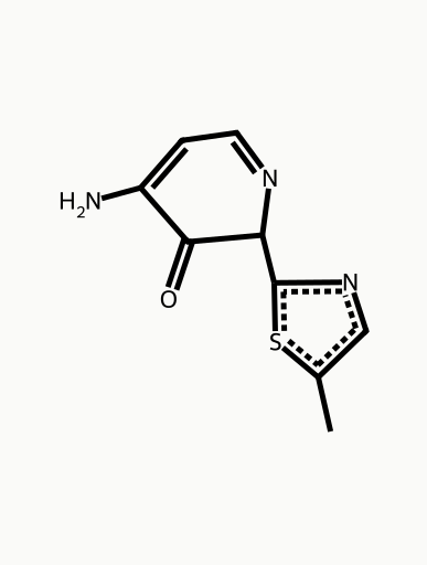 Cc1cnc(C2N=CC=C(N)C2=O)s1